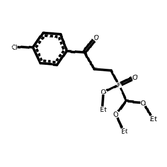 CCOC(OCC)P(=O)(CCC(=O)c1ccc(Cl)cc1)OCC